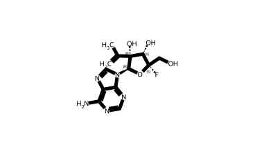 C=C(C)[C@]1(O)[C@H](n2cnc3c(N)ncnc32)O[C@](F)(CO)[C@H]1O